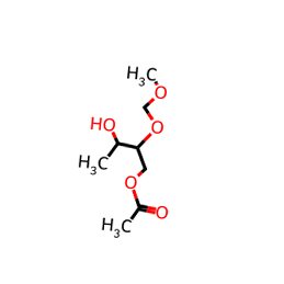 COCOC(COC(C)=O)C(C)O